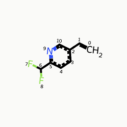 C=Cc1ccc(C(F)F)nc1